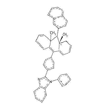 CC12C=CC=CC1=C(c1ccc(-c3nc4ccccc4n3-c3ccccc3)cc1)C1=CC=CC[C@@]1(C)C2c1ccc2ccccc2c1